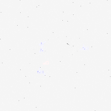 NC(=O)c1cccc2cn(Cc3ccc([C@@]4(C5CC5)CCCNC4)cc3)nc12